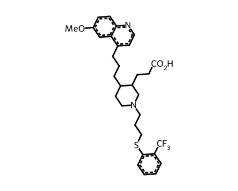 COc1ccc2nccc(CCCC3CCN(CCCSc4ccccc4C(F)(F)F)CC3CCC(=O)O)c2c1